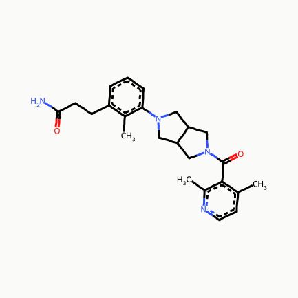 Cc1ccnc(C)c1C(=O)N1CC2CN(c3cccc(CCC(N)=O)c3C)CC2C1